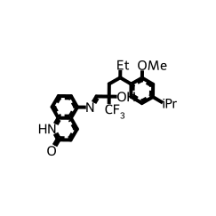 CCC(CC(O)(C=Nc1cccc2[nH]c(=O)ccc12)C(F)(F)F)c1ccc(C(C)C)cc1OC